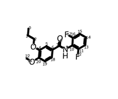 CCCOc1cc(C(=O)Nc2c(F)cccc2F)ccc1OC